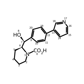 O=C(O)N1CCCC[C@H]1[C@@H](O)c1ccc(-c2cccnc2)cc1